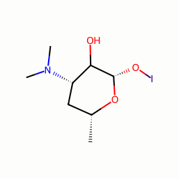 C[C@@H]1C[C@H](N(C)C)C(O)[C@H](OI)O1